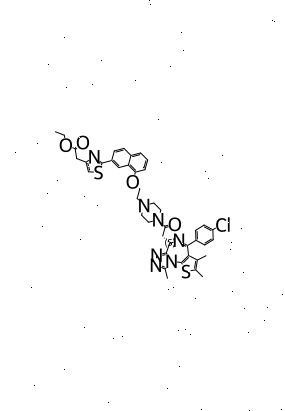 CCOC(=O)Cc1csc(-c2ccc3cccc(OCCN4CCN(C(=O)C[C@@H]5N=C(c6ccc(Cl)cc6)c6c(sc(C)c6C)-n6c(C)nnc65)CC4)c3c2)n1